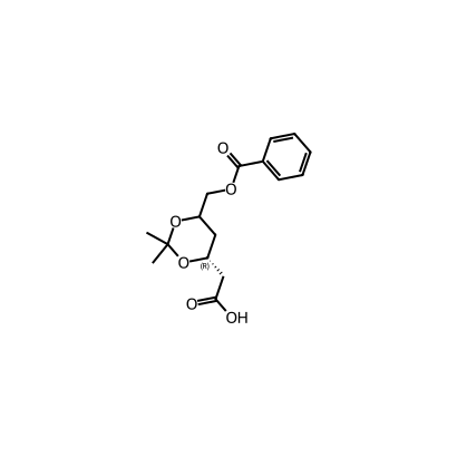 CC1(C)OC(COC(=O)c2ccccc2)C[C@H](CC(=O)O)O1